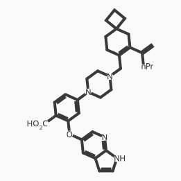 C=C(CCC)C1=C(CN2CCN(c3ccc(C(=O)O)c(Oc4cnc5[nH]ccc5c4)c3)CC2)CCC2(CCC2)C1